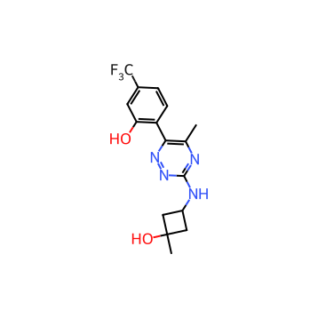 Cc1nc(NC2CC(C)(O)C2)nnc1-c1ccc(C(F)(F)F)cc1O